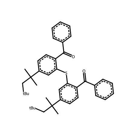 CC(C)(C)CC(C)(C)c1ccc(C(=O)c2ccccc2)c(Sc2cc(C(C)(C)CC(C)(C)C)ccc2C(=O)c2ccccc2)c1